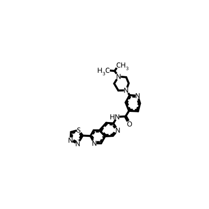 CC(C)N1CCN(c2cc(C(=O)Nc3cc4cc(-c5nncs5)ncc4cn3)ccn2)CC1